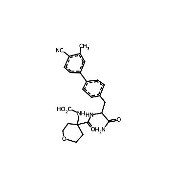 Cc1cc(-c2ccc(CC(NC(=O)C3(NC(=O)O)CCOCC3)C(N)=O)cc2)ccc1C#N